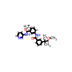 COCC(C)(C)c1cccc(C(=O)Nc2ccc(C)c(C(=O)Nc3cccnc3)c2)c1